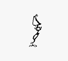 CC(C)C(=O)NCc1ccc(-c2cnc(N3CCN(C(C)C)CC3)nc2)cc1